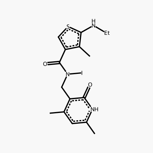 CCNc1scc(C(=O)N(I)Cc2c(C)cc(C)[nH]c2=O)c1C